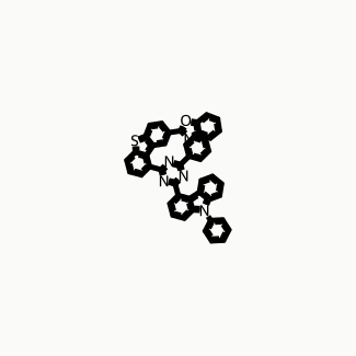 c1ccc(-c2nc(-c3cccc4sc5ccc(-c6nc7ccccc7o6)cc5c34)nc(-c3cccc4c3c3ccccc3n4-c3ccccc3)n2)cc1